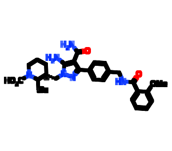 COc1ccccc1C(=O)NCc1ccc(-c2nn(C[C@H]3CCCN(C(=O)O)C3C(C)(C)C)c(N)c2C(N)=O)cc1